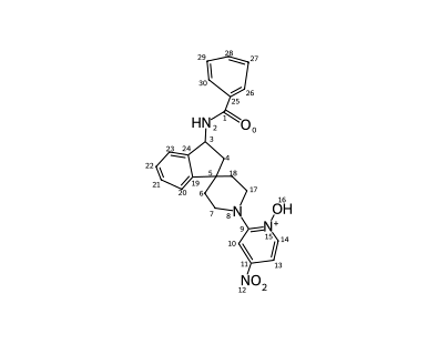 O=C(NC1CC2(CCN(c3cc([N+](=O)[O-])cc[n+]3O)CC2)c2ccccc21)c1ccccc1